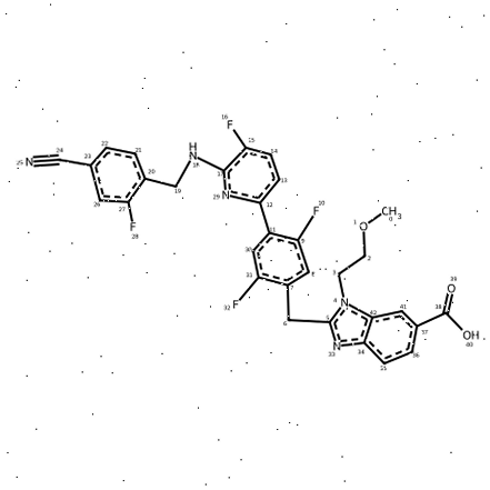 COCCn1c(Cc2cc(F)c(-c3ccc(F)c(NCc4ccc(C#N)cc4F)n3)cc2F)nc2ccc(C(=O)O)cc21